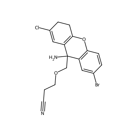 N#CCCOCC1(N)C2=C(CCC(Cl)=C2)Oc2ccc(Br)cc21